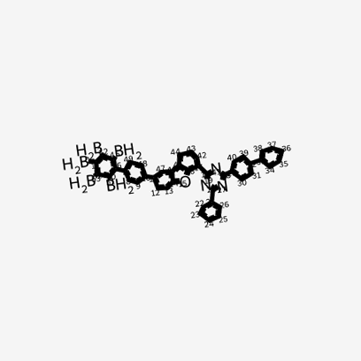 Bc1c(B)c(B)c(-c2ccc(-c3ccc4oc5c(-c6nc(-c7ccccc7)nc(-c7ccc(-c8ccccc8)cc7)n6)cccc5c4c3)cc2)c(B)c1B